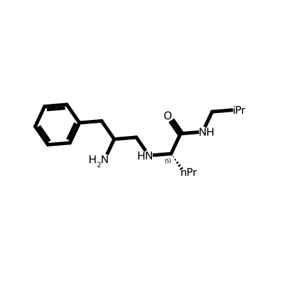 CCC[C@H](NCC(N)Cc1ccccc1)C(=O)NCC(C)C